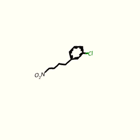 O=[N+]([O-])CCCCc1cccc(Cl)c1